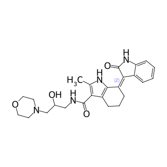 Cc1[nH]c2c(c1C(=O)NCC(O)CN1CCOCC1)CCC/C2=C1/C(=O)Nc2ccccc21